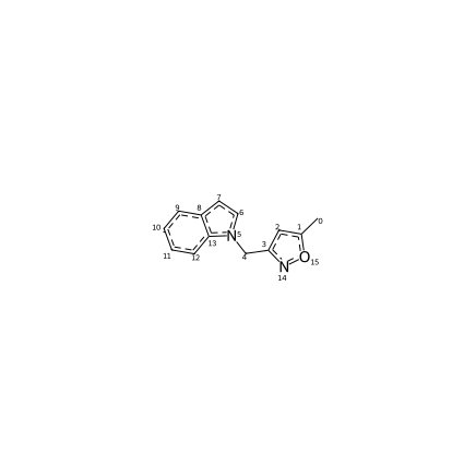 Cc1cc(Cn2ccc3c[c]ccc32)no1